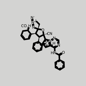 N#C[C@@]1(c2ccc3c(NC(=O)c4ccccc4)ncnn23)O[C@@](CI)(N=[N+]=[N-])[C@H](C2=CC=CCC2C(=O)O)[C@@H]1c1ccccc1C(=O)O